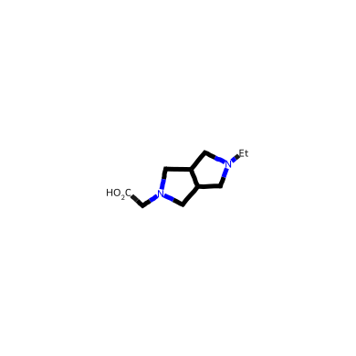 CCN1CC2CN(CC(=O)O)CC2C1